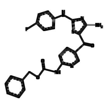 Nc1nc(Nc2ccc(F)cc2)sc1C(=O)c1ccc(NC(=O)OCc2ccccc2)nc1